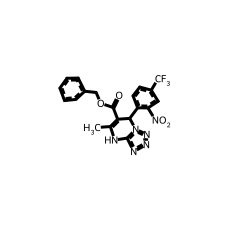 CC1=C(C(=O)OCc2ccccc2)C(c2ccc(C(F)(F)F)cc2[N+](=O)[O-])n2nnnc2N1